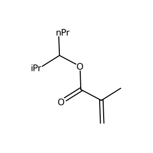 C=C(C)C(=O)OC(CCC)C(C)C